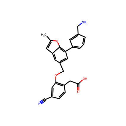 Cc1cc2cc(COc3cc(C#N)ccc3CC(=O)O)cc(-c3cccc(CN)c3)c2o1